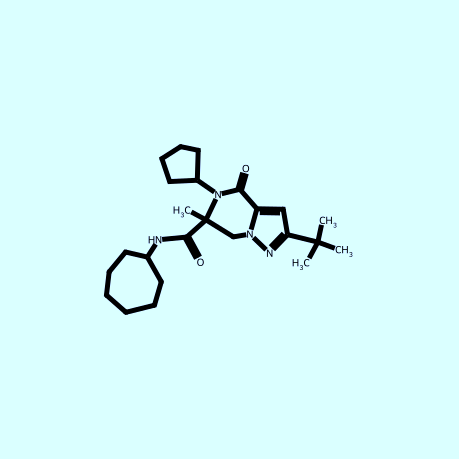 CC(C)(C)c1cc2n(n1)CC(C)(C(=O)NC1CCCCCC1)N(C1CCCC1)C2=O